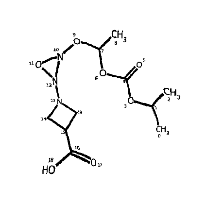 CC(C)OC(=O)OC(C)On1on1N1CC(C(=O)O)C1